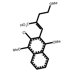 COCC/C(=C/c1c(Cl)c(OC)c2ccccc2c1OC)C(=O)O